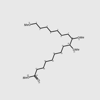 COCCCCCCCC(OC)C(CCCCCCCC(=O)OC)OC